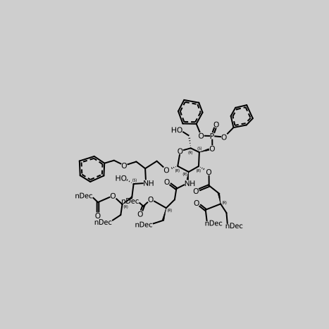 CCCCCCCCCCC[C@H](CC(=O)N[C@H]1[C@H](OCC(COCc2ccccc2)N[C@@H](O)C[C@@H](CCCCCCCCCCC)OC(=O)CCCCCCCCCC)O[C@H](CO)[C@@H](OP(=O)(Oc2ccccc2)Oc2ccccc2)[C@@H]1OC(=O)C[C@@H](CCCCCCCCCCC)C(=O)CCCCCCCCCC)OC(=O)CCCCCCCCCC